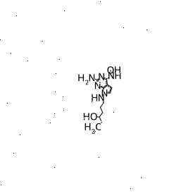 CCC(O)CCCNn1ccc2c(NO)nc(N)nc21